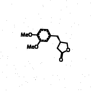 COc1ccc(C[C@H]2COC(=O)C2)cc1OC